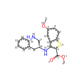 COC(=O)c1sc2ccc(OC)cc2c1N[C@H](CN)Cc1ccccc1